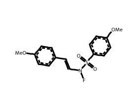 COc1ccc(C=CN(F)S(=O)(=O)c2ccc(OC)cc2)cc1